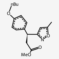 CCCCOc1ccc([C@H](CC(=O)OC)c2cc(C)on2)cc1